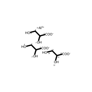 O=C([O-])C(O)CO.O=C([O-])C(O)CO.O=C([O-])C(O)CO.[Al+3]